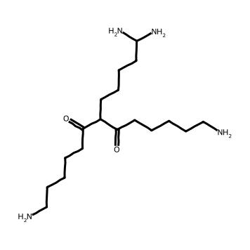 NCCCCCC(=O)C(CCCCC(N)N)C(=O)CCCCCN